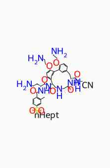 CCCCCCCS(=O)(=O)c1ccc(C(=O)N[C@@H](CCN)C(=O)N(C)[C@@H]2C(=O)N[C@@H](C)C(=O)N[C@H](C(=O)NCC#N)Cc3ccc(OCCN)c(c3)-c3cc2ccc3OCCN)c(C)c1